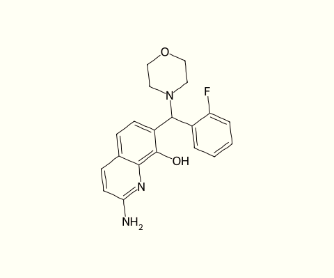 Nc1ccc2ccc(C(c3ccccc3F)N3CCOCC3)c(O)c2n1